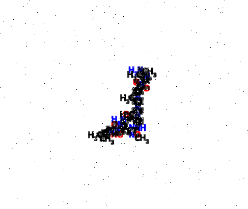 COc1ncc(-c2ccnc(N3CCn4c(cc5c4CC(C)(C)C5)C3=O)c2CO)nc1Nc1ccc(N2CCN(C3CCN(c4ccc5c(c4)C(=O)N(c4ccnc(C(C)(C)N)c4)C5=O)[C@@H](C)C3)C[C@@H]2C)c(C=CC(N)=O)c1